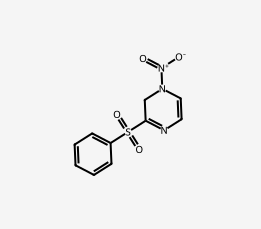 O=[N+]([O-])N1C=CN=C(S(=O)(=O)c2ccccc2)C1